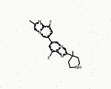 Cc1cn2cc(-c3cc(F)c4nc(C5(C)CCNCC5)cn4c3)cc(F)c2n1